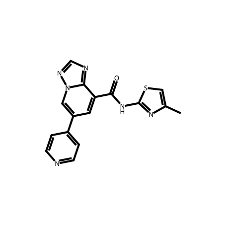 Cc1csc(NC(=O)c2cc(-c3ccncc3)cn3ncnc23)n1